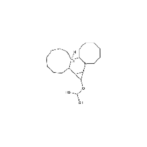 SC(S)OC1C2C3CCCCCCC[C@H]3C3CCCCCCN3C12